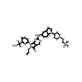 C=CCn1c(=O)c2cnc(Nc3ccc4c(ccn4C4CCN(CCS(C)(=O)=O)CC4)c3)nc2n1-c1cccc(C(C)(C)O)n1